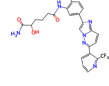 Cc1ccc(-c2cn3nc(-c4cccnc4C(F)(F)F)ccc3n2)cc1NC(=O)CCCC(O)C(N)=O